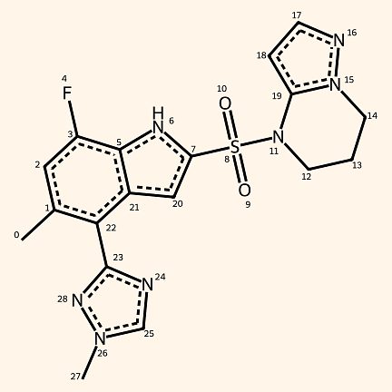 Cc1cc(F)c2[nH]c(S(=O)(=O)N3CCCn4nccc43)cc2c1-c1ncn(C)n1